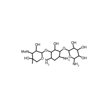 CNC1C(O)C(OC2C(N)CC(N)C(OC3OC(N)C(O)C(O)C3O)C2O)OCC1(C)O